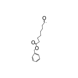 O=[C]CCCCCCC(=O)OCc1ccccc1